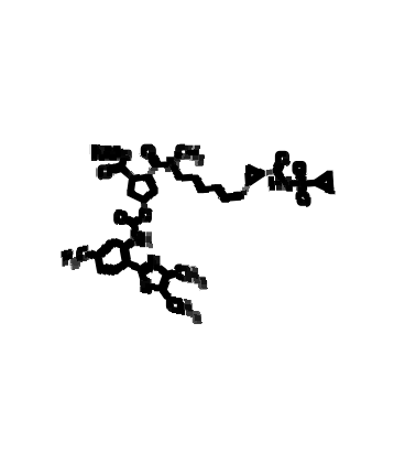 CNC(=O)[C@@H]1C[C@@H](OC(=O)Nc2cc(C(F)(F)F)ccc2C2=NC(C)C(C)S2)C[C@H]1C(=O)N(C)CCCC/C=C\[C@@H]1C[C@@H]1C(=O)NS(=O)(=O)C1CC1